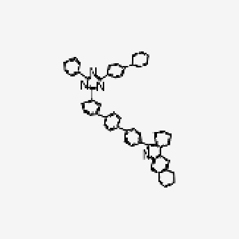 c1ccc(-c2ccc(-c3nc(-c4ccccc4)nc(-c4cccc(-c5ccc(-c6ccc(-c7nc8cc9ccccc9cc8c8ccccc78)cc6)cc5)c4)n3)cc2)cc1